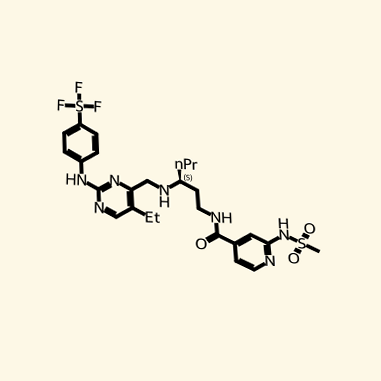 CCC[C@@H](CCNC(=O)c1ccnc(NS(C)(=O)=O)c1)NCc1nc(Nc2ccc(S(F)(F)F)cc2)ncc1CC